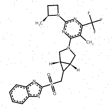 Cc1c(N2C[C@@H]3C(CS(=O)(=O)c4nc5ccccc5s4)[C@@H]3C2)nc(N2CC[C@@H]2C)nc1C(F)(F)F